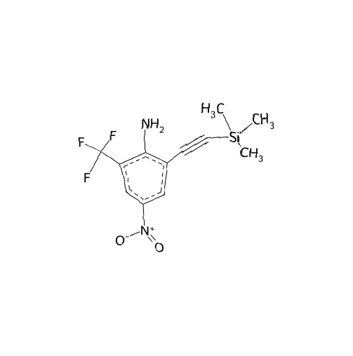 C[Si](C)(C)C#Cc1cc([N+](=O)[O-])cc(C(F)(F)F)c1N